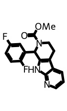 COC(=O)N1CCc2c([nH]c3ncccc23)C1c1cc(F)ccc1F